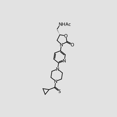 CC(=O)NC[C@H]1CN(c2ccc(N3CCN(C(=S)C4CC4)CC3)nc2)C(=O)O1